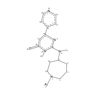 CC(=O)N1CCCC(N(C)c2nc(-c3ccncc3)cc(=O)n2C)CC1